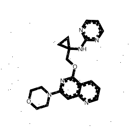 c1cnc(NC2(COc3nc(N4CCOCC4)cc4ncccc34)CC2)nc1